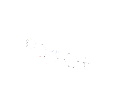 COC(=O)C(=Cc1cccs1)NC(=O)c1ccc(C(C)(C)C)cc1